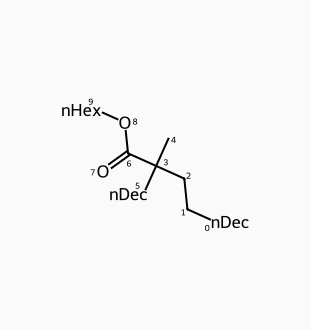 CCCCCCCCCCCCC(C)(CCCCCCCCCC)C(=O)OCCCCCC